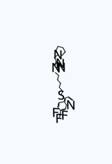 FC(F)(F)c1ccc2c(SCCCCCCn3cc(CN4CCCCC4)nn3)ccnc2c1